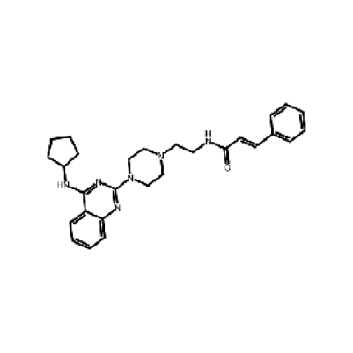 O=C(/C=C/c1ccccc1)NCCN1CCN(c2nc(NC3CCCC3)c3ccccc3n2)CC1